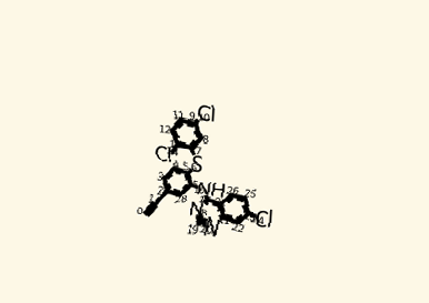 C#Cc1ccc(Sc2cc(Cl)ccc2Cl)c(Nc2ncnc3cc(Cl)ccc23)c1